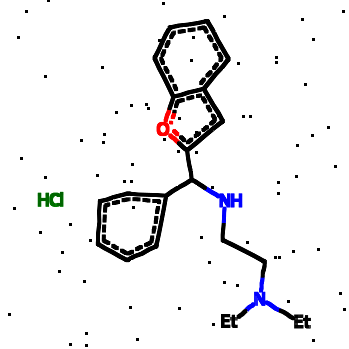 CCN(CC)CCNC(c1ccccc1)c1cc2ccccc2o1.Cl